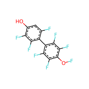 Oc1cc(F)c(-c2c(F)c(F)c(OF)c(F)c2F)c(F)c1F